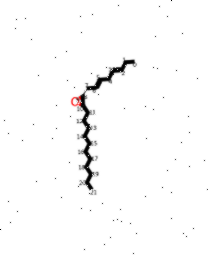 CC/C=C/C/C=C/C[C@H]1OC1CCCCCCCCCCC